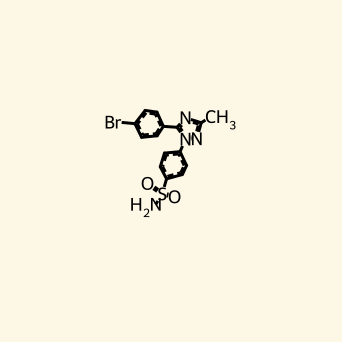 Cc1nc(-c2ccc(Br)cc2)n(-c2ccc(S(N)(=O)=O)cc2)n1